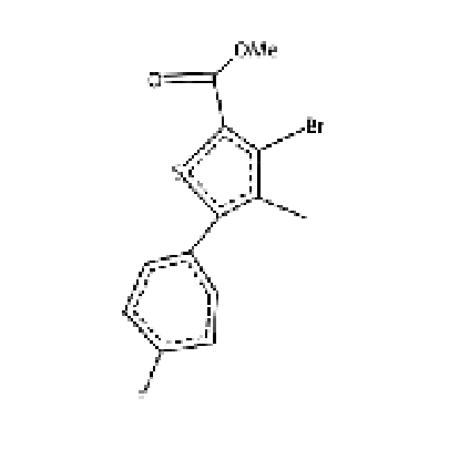 COC(=O)c1sc(-c2ccc(F)cc2)c(C)c1Br